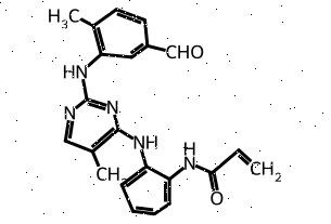 C=CC(=O)Nc1ccccc1Nc1nc(Nc2cc(C=O)ccc2C)ncc1C